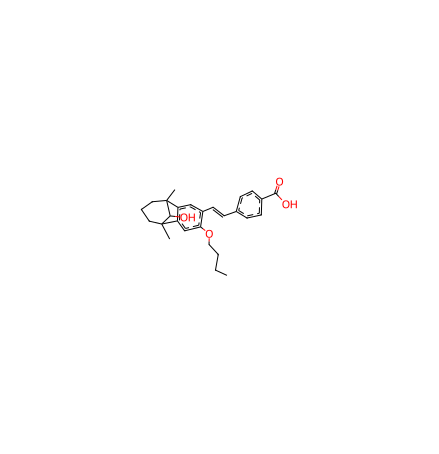 CCCCOc1cc2c(cc1/C=C/c1ccc(C(=O)O)cc1)C1(C)CCCC2(C)C1O